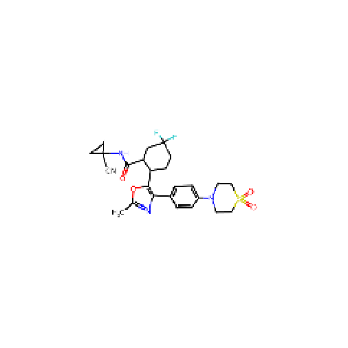 Cc1nc(-c2ccc(N3CCS(=O)(=O)CC3)cc2)c(C2CCC(F)(F)CC2C(=O)NC2(C#N)CC2)o1